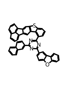 c1ccc2cc(-c3nc(-c4ccc5oc6ccccc6c5c4)nc(-c4cccc5sc6cc7c(cc6c45)-c4cccc5cccc-7c45)n3)ccc2c1